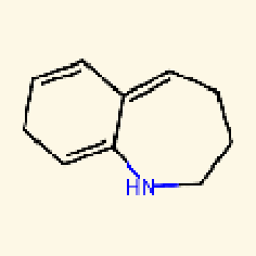 C1=CC2=CCCCNC2=CC1